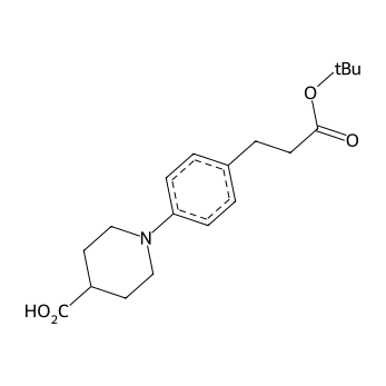 CC(C)(C)OC(=O)CCc1ccc(N2CCC(C(=O)O)CC2)cc1